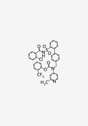 Cc1cc(N(Cc2ccc(-c3ccccc3S(=O)(=O)NC(=O)c3ccccc3Cl)cc2)C(=O)Oc2ccccc2C(F)(F)F)ccn1